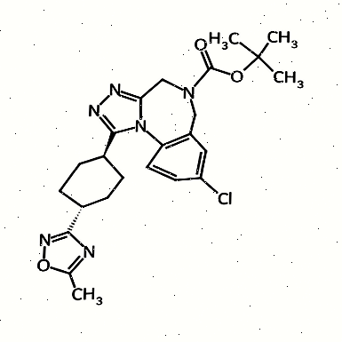 Cc1nc([C@H]2CC[C@H](c3nnc4n3-c3ccc(Cl)cc3CN(C(=O)OC(C)(C)C)C4)CC2)no1